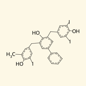 Cc1cc(Cc2cc(-c3ccccc3)cc(Cc3cc(I)c(O)c(I)c3)c2O)cc(I)c1O